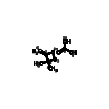 C=C1OOC1(C)C.O=C(O)O